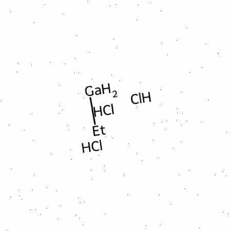 C[CH2][GaH2].Cl.Cl.Cl